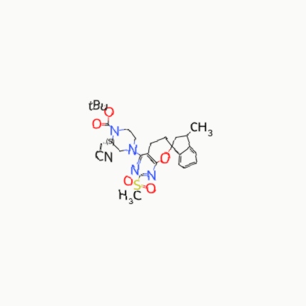 CC1CC2(CCc3c(nc(S(C)(=O)=O)nc3N3CCN(C(=O)OC(C)(C)C)[C@@H](CC#N)C3)O2)c2ccccc21